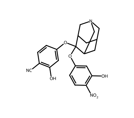 N#Cc1ccc(OC2(Oc3ccc([N+](=O)[O-])c(O)c3)C3CC4CC2CN(C4)C3)cc1O